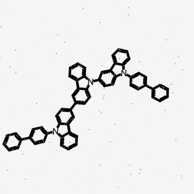 c1ccc(-c2ccc(-n3c4ccccc4c4cc(-c5ccc6c(c5)c5ccccc5n6-c5ccc6c(c5)c5ccccc5n6-c5ccc(-c6ccccc6)cc5)ccc43)cc2)cc1